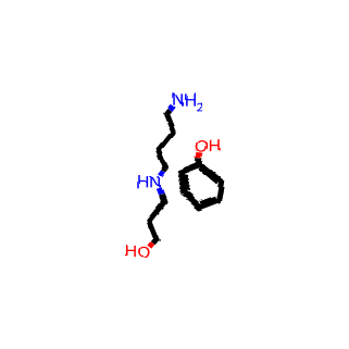 NCCCCNCCCO.Oc1ccccc1